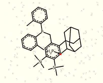 Cc1ccccc1P(Cc1cc([Si](C)(C)C)c([Si](C)(C)C)cc1C12CC3CC(CC(C3)C1CP)C2)c1ccccc1C